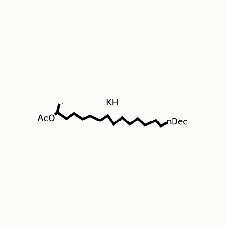 [CH2]C(CCCCCCCCCCCCCCCCCCCCCCC)OC(C)=O.[KH]